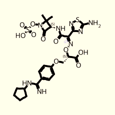 CC1(C)[C@H](NC(=O)/C(=N\O[C@@H](COc2ccc(C(=N)NC3CCCC3)cc2)C(=O)O)c2nsc(N)n2)C(=O)N1OS(=O)(=O)O